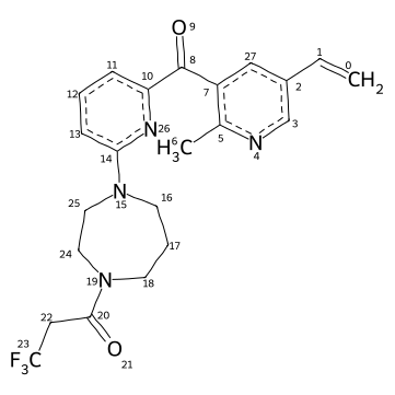 C=Cc1cnc(C)c(C(=O)c2cccc(N3CCCN(C(=O)CC(F)(F)F)CC3)n2)c1